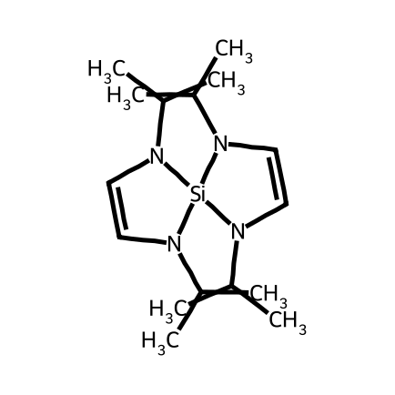 CC(C)N1C=CN(C(C)C)[Si]12N(C(C)C)C=CN2C(C)C